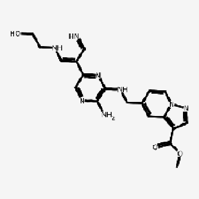 COC(=O)c1cnn2ccc(CNc3nc(/C(C=N)=C/NCCO)cnc3N)cc12